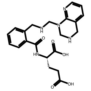 O=C(O)CC[C@H](NC(=O)c1ccccc1CNCN1CNCc2cccnc21)C(=O)O